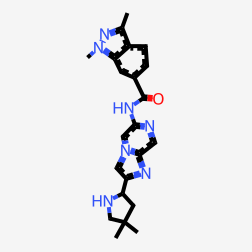 Cc1nn(C)c2cc(C(=O)Nc3cn4cc(C5CC(C)(C)CN5)nc4cn3)ccc12